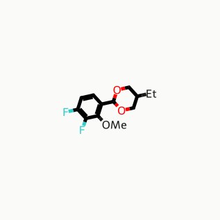 CCC1COC(c2ccc(F)c(F)c2OC)OC1